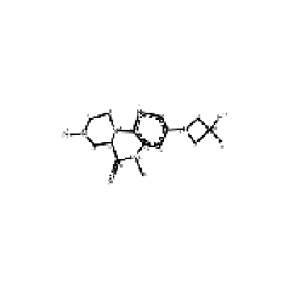 CC(C)N1CCN2c3ncc(N4CC(F)(F)C4)cc3N(C)C(=O)C2C1